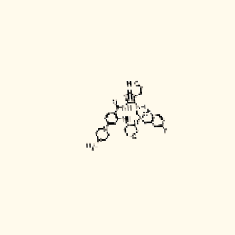 C/C=C\c1[nH]nc(NC(=O)c2ccc(N3CCN(C)CC3)cc2NC2CCOCC2)c1NCS(=O)(=O)Cc1cc(F)ccc1F